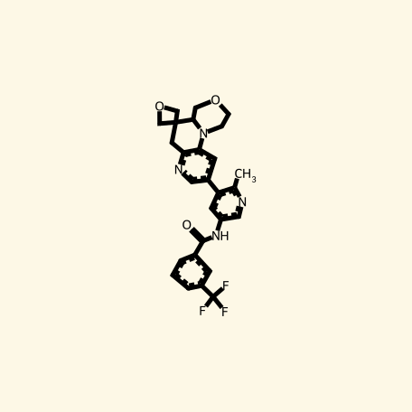 Cc1ncc(NC(=O)c2cccc(C(F)(F)F)c2)cc1-c1cnc2c(c1)N1CCOCC1C1(COC1)C2